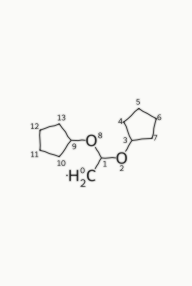 [CH2]C(OC1CCCC1)OC1CCCC1